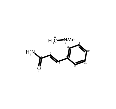 CNC.NC(=O)C=Cc1ccccc1